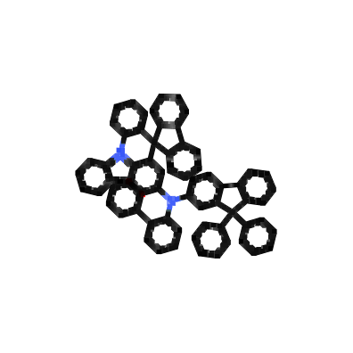 c1ccc(-c2ccccc2N(c2ccc3c(c2)C(c2ccccc2)(c2ccccc2)c2ccccc2-3)c2cc3c4c(c2)c2ccccc2n4-c2ccccc2C32c3ccccc3-c3ccccc32)cc1